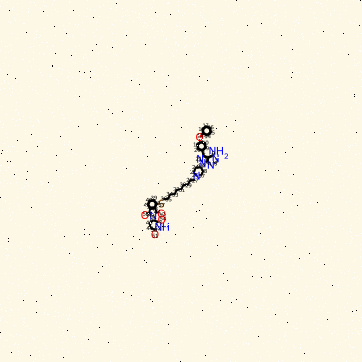 Nc1ncnc2c1c(-c1ccc(Oc3ccccc3)cc1)nn2C1CCN(CCCCCCCCCCSc2cccc3c2C(=O)N(C2CCC(=O)NC2=O)C3=O)CC1